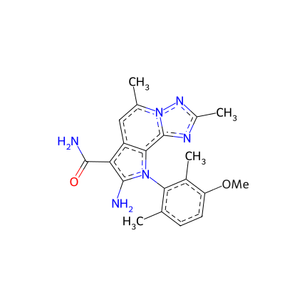 COc1ccc(C)c(-n2c(N)c(C(N)=O)c3cc(C)n4nc(C)nc4c32)c1C